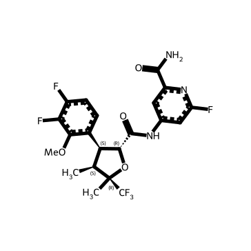 COc1c([C@H]2[C@H](C(=O)Nc3cc(F)nc(C(N)=O)c3)O[C@@](C)(C(F)(F)F)[C@H]2C)ccc(F)c1F